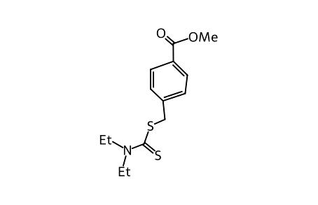 CCN(CC)C(=S)SCc1ccc(C(=O)OC)cc1